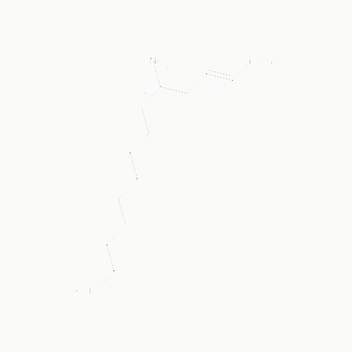 CCCCC/C=C/C/C(=C\CCCCCCC[C]=O)[N+](=O)[O-]